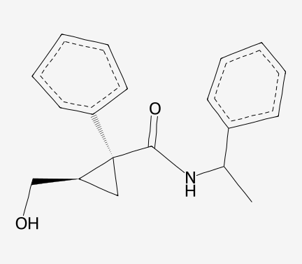 CC(NC(=O)[C@@]1(c2ccccc2)C[C@H]1CO)c1ccccc1